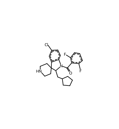 O=C(c1c(F)cccc1F)N1c2ccc(Cl)cc2C2(CCNCC2)C1CC1CCCC1